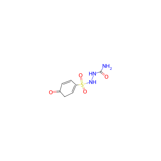 NC(=O)NNS(=O)(=O)C1=CCC(=O)C=C1